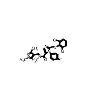 Cc1nn(C)cc1CN(C)C(=O)c1cnc(CSc2c(Cl)cccc2Cl)n1-c1ccc(F)cc1